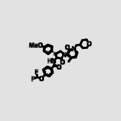 COc1ccc([C@@H]2CN(c3c(C)ccn(CC4CCOCC4)c3=O)C(=O)C2NC(=O)c2ccc(OC(F)F)cc2)cc1